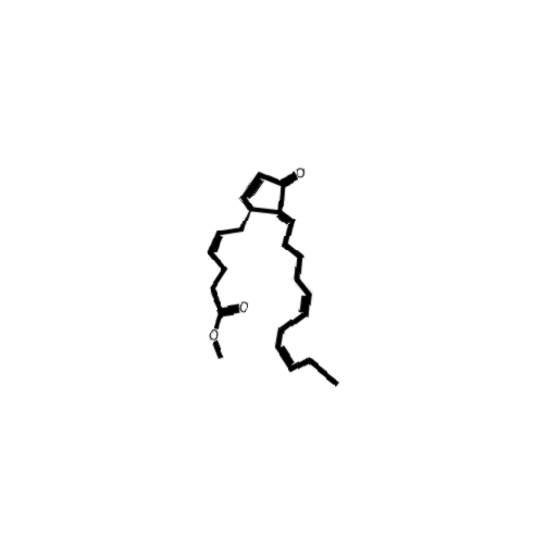 CC/C=C\C/C=C\CCC/C=C1/C(=O)C=C[C@@H]1C/C=C\CCC(=O)OC